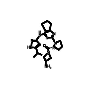 CC(C)c1cc(Nc2nc(N3CCC[C@@H]3C(=O)N3CC(N)C3)nc3c2CCC3)n[nH]1